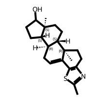 Cc1nc2c(s1)C1=CC[C@@H]3[C@H](CC[C@]4(C)C(O)CC[C@@H]34)[C@@]1(C)CC2